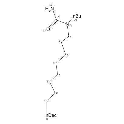 CCCCCCCCCCCCCCCCCCN(CCCC)C(N)=O